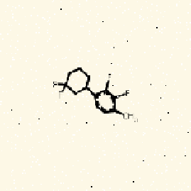 Cc1ccc(C2CCCC(F)(F)C2)c(F)c1F